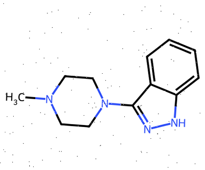 CN1CCN(c2n[nH]c3ccccc23)CC1